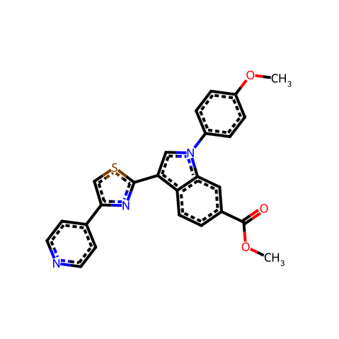 COC(=O)c1ccc2c(-c3nc(-c4ccncc4)cs3)cn(-c3ccc(OC)cc3)c2c1